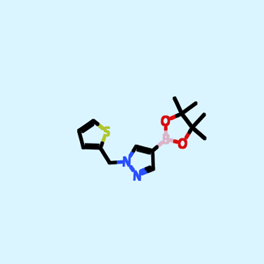 CC1(C)OB(c2cnn(Cc3cccs3)c2)OC1(C)C